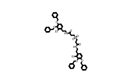 CCc1c(CCNC(=O)CCS(=O)(=O)CCC(=O)NCCc2ccc(OCc3ccccc3)c(OCc3ccccc3)c2CC)ccc(OCc2ccccc2)c1OCc1ccccc1